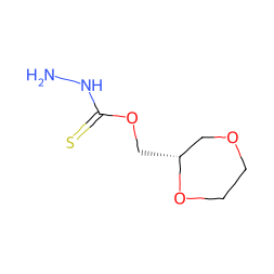 NNC(=S)OC[C@@H]1COCCO1